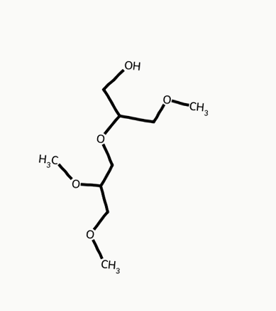 COCC(COC(CO)COC)OC